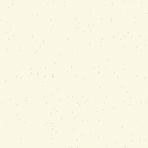 CC(C)(C)OC(=O)NCCCCC(N)C(=O)N1CCC(NC(=O)Nc2ccccc2)CC1